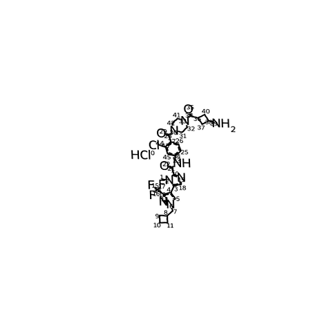 Cl.Cn1c(-c2cn(CC3CCC3)nc2C(F)(F)F)cnc1C(=O)Nc1ccc(C(=O)N2CCN(C(=O)C3CC(N)C3)CC2)c(Cl)c1